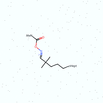 CCCCCCCCCCC(C)(C)/C=N/OC(=O)NC